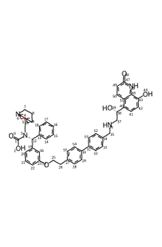 O=C(O)N(C1CN2CCC1CC2)[C@H](c1ccccc1)c1cccc(OCCc2ccc(-c3ccc(CNC[C@H](O)c4ccc(O)c5[nH]c(=O)ccc45)cc3)cc2)c1